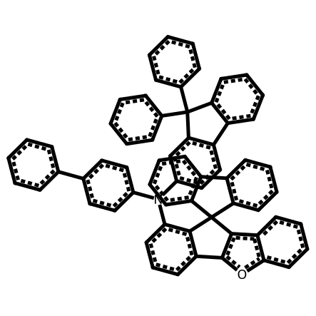 c1ccc(-c2ccc(N(c3ccc4c(c3)C(c3ccccc3)(c3ccccc3)c3ccccc3-4)c3cccc4c3C3(c5ccccc5-c5ccccc53)c3c-4oc4ccccc34)cc2)cc1